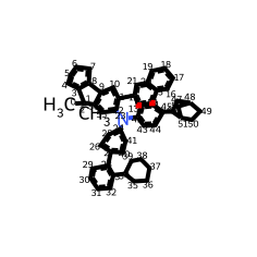 CC1(C)c2ccccc2-c2cc(-c3ccc4ccccc4c3)c(N(c3ccc(-c4ccccc4C4CCCCC4)cc3)c3ccc(C4CC5CCC4C5)cc3)cc21